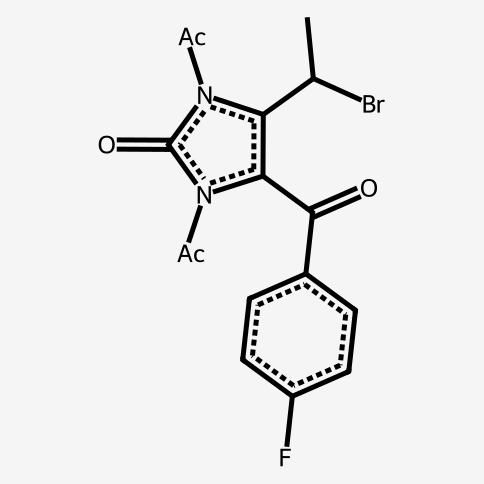 CC(=O)n1c(C(=O)c2ccc(F)cc2)c(C(C)Br)n(C(C)=O)c1=O